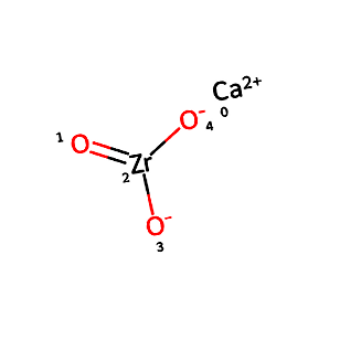 [Ca+2].[O]=[Zr]([O-])[O-]